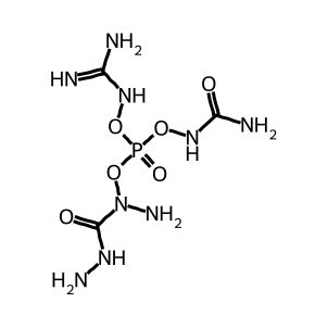 N=C(N)NOP(=O)(ONC(N)=O)ON(N)C(=O)NN